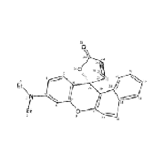 CCN(CC)c1ccc2c(c1)Oc1ccc3ccccc3c1[C@@]21OC(=O)c2ccccc21